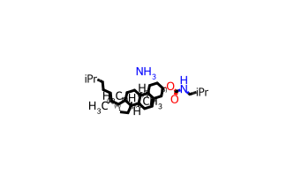 CC(C)CCC[C@@H](C)[C@H]1CC[C@H]2[C@@H]3CC=C4C[C@@H](OC(=O)NCC(C)C)CC[C@]4(C)[C@H]3CC[C@]12C.N